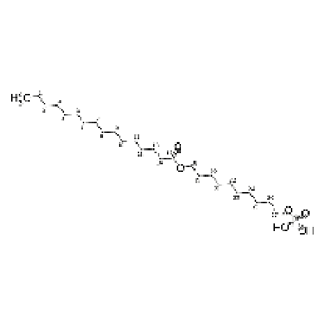 CCCCCCCCCCCCCCCC(=O)OCCCCCCCCCCOP(=O)(O)O